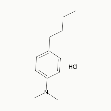 CCCCc1ccc(N(C)C)cc1.Cl